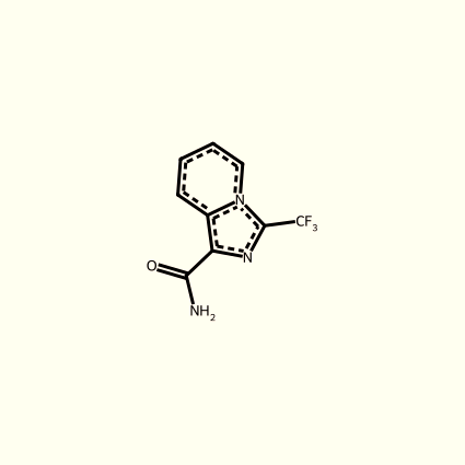 NC(=O)c1nc(C(F)(F)F)n2ccccc12